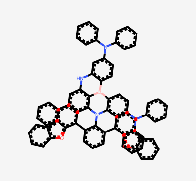 c1ccc(-c2cc3c4c(c2)N(c2c(-c5cccc6c5oc5ccccc56)cccc2-c2cccc5c2oc2ccccc25)c2cc(N(c5ccccc5)c5ccccc5)ccc2B4c2ccc(N(c4ccccc4)c4ccccc4)cc2N3)cc1